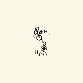 CCC(=O)C1(c2cc(Cl)ccc2C)CCCCC(CCOc2cnc(C(C)C=O)nc2)CC1